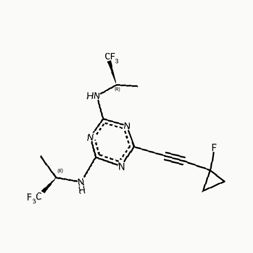 C[C@@H](Nc1nc(C#CC2(F)CC2)nc(N[C@H](C)C(F)(F)F)n1)C(F)(F)F